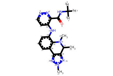 [2H]C([2H])([2H])NC(=O)c1nnccc1Nc1cccc2c1N(C)C(C)c1nn(C)nc1-2